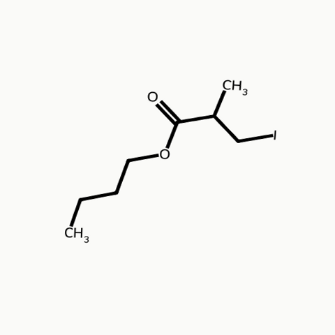 CCCCOC(=O)C(C)CI